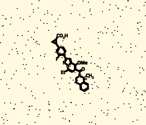 CCc1cc(C(=O)N2CCc3ccccc3[C@H]2C)c(OC)c2cc(-c3ccc(C4CC4C(=O)O)cc3F)nn12